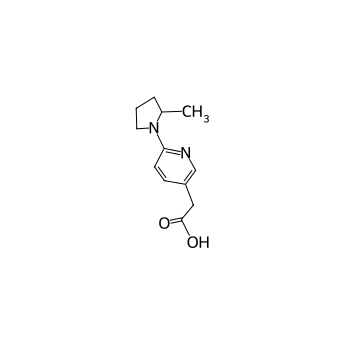 CC1CCCN1c1ccc(CC(=O)O)cn1